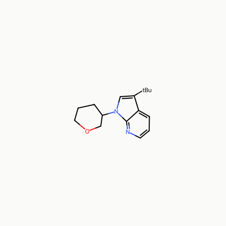 CC(C)(C)c1cn(C2CCCOC2)c2ncccc12